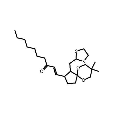 CCCCCCCC(=O)C=CC1CCC2(OCC(C)(C)CO2)C1CC1SCCS1